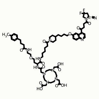 Cc1ccc(CCCC(=O)NCCOCCC(NC(=O)CN2CCN(CC(=O)O)CCN(CC(=O)O)CCN(CC(=O)O)CC2)C(=O)NCCCCCC(=O)N2CCC(CCCCOc3ccc4nccc(C(=O)CCC(=O)N5CC(F)(F)C[C@@H]5C#N)c4c3)CC2)cc1